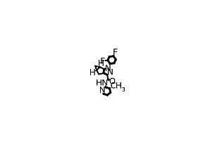 Cc1cccnc1NC(=O)c1nn(-c2ccc(F)cc2F)c2c1C[C@@H]1C[C@H]21